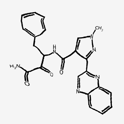 Cn1cc(C(=O)NC(Cc2ccccc2)C(=O)C(N)=O)c(-c2cnc3ccccc3n2)n1